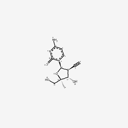 C#C[C@@H]1[C@H](n2ccc(N)nc2=O)O[C@](C)(CO)[C@H]1O